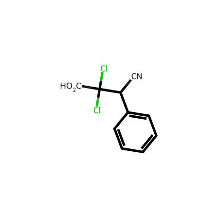 N#CC(c1ccccc1)C(Cl)(Cl)C(=O)O